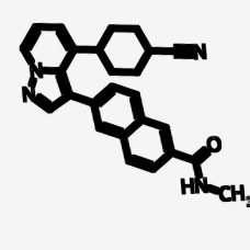 CNC(=O)c1ccc2cc(-c3cnn4cccc(C5CCC(C#N)CC5)c34)ccc2c1